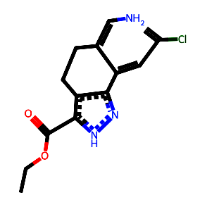 C=C(Cl)/C=C1\C(=C/N)CCc2c1n[nH]c2C(=O)OCC